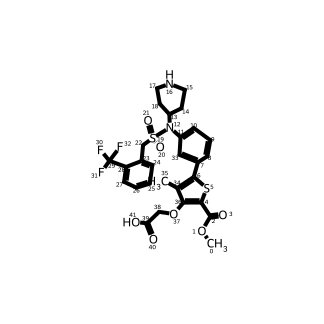 COC(=O)c1sc(-c2cccc(N(C3CCNCC3)S(=O)(=O)Cc3ccccc3C(F)(F)F)c2)c(C)c1OCC(=O)O